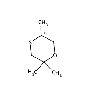 C[C@@H]1COC(C)(C)CS1